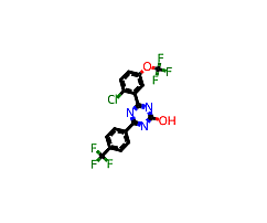 Oc1nc(-c2ccc(C(F)(F)F)cc2)nc(-c2cc(OC(F)(F)F)ccc2Cl)n1